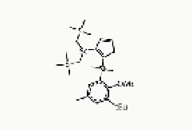 COc1c(C(C)(C)C)cc(C)cc1[Si](C)(C)C1=[C]([Sc]([CH2][Si](C)(C)C)[CH2][Si](C)(C)C)C=CC1